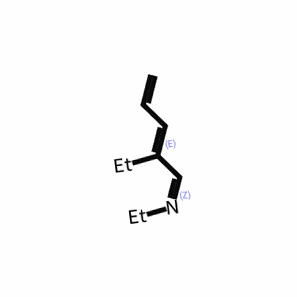 C=C/C=C(/C=N\CC)CC